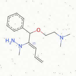 C=C/C=C(/C(OCCN(C)C)c1ccccc1)N(C)N